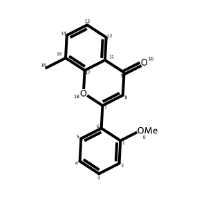 COc1ccccc1-c1cc(=O)c2cccc(C)c2o1